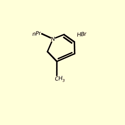 Br.CCCN1C=CC=C(C)C1